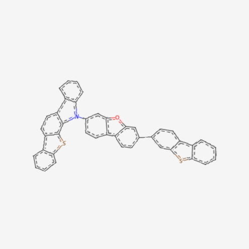 c1ccc2c(c1)sc1cc(-c3ccc4c(c3)oc3cc(-n5c6ccccc6c6ccc7c8ccccc8sc7c65)ccc34)ccc12